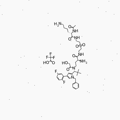 CC(=O)N[C@@H](CCCCN)C(=O)NCCS(=O)(=O)CCNC(=O)[C@@H](N)CCN(C(=O)CO)[C@@H](c1cc(-c2cc(F)ccc2F)cn1Cc1ccccc1)C(C)(C)C.O=C(O)C(F)(F)F